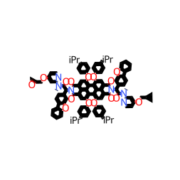 CC(C)c1ccc(Oc2cc3c4c(cc(Oc5ccc(C(C)C)cc5)c5c6c(Oc7ccc(C(C)C)cc7)cc7c8c(cc(Oc9ccc(C(C)C)cc9)c(c2c45)c86)C(=O)N(C(C(=O)N(C)c2cc(OCC4CO4)ccn2)c2ccc4c(c2)oc2ccccc24)C7=O)C(=O)N(C(C(=O)N(C)c2cc(OCC4CC4)ccn2)c2ccc4c(c2)oc2ccccc24)C3=O)cc1